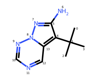 CC(C)(C)c1c(N)nn2ncncc12